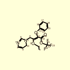 CCOC(CN1C=NC=CC1)=C(Oc1ccccc1)C(=O)OC(F)(F)F